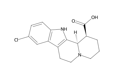 O=C(O)[C@H]1CCCN2CCc3c([nH]c4ccc(Cl)cc34)[C@@H]12